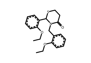 CCOc1ccccc1CN1C(=O)CCSC1c1ccccc1OCC